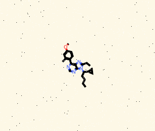 CCCCC(C1CC1)n1c(CC)nc2c(-c3ccc(OC)cc3C)ncnc21